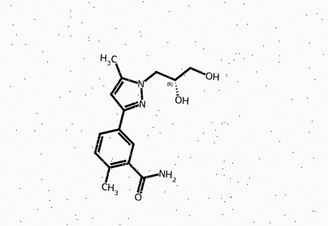 Cc1ccc(-c2cc(C)n(C[C@@H](O)CO)n2)cc1C(N)=O